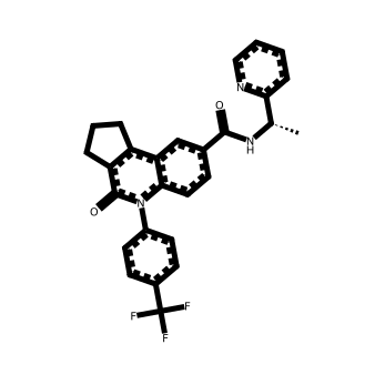 C[C@H](NC(=O)c1ccc2c(c1)c1c(c(=O)n2-c2ccc(C(F)(F)F)cc2)CCC1)c1ccccn1